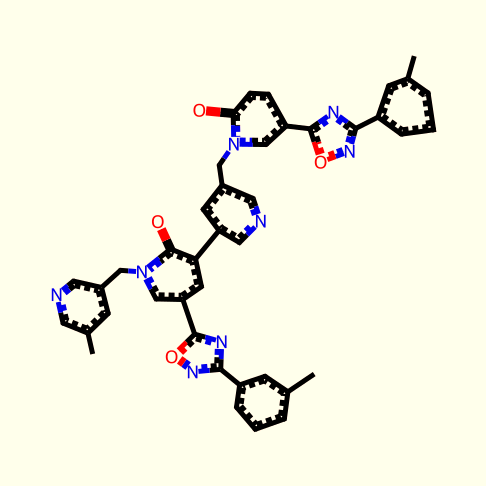 Cc1cncc(Cn2cc(-c3nc(-c4cccc(C)c4)no3)cc(-c3cncc(Cn4cc(-c5nc(-c6cccc(C)c6)no5)ccc4=O)c3)c2=O)c1